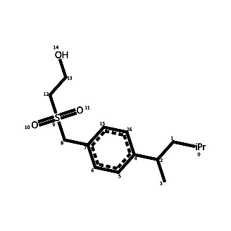 CC(C)CC(C)c1ccc(CS(=O)(=O)CCO)cc1